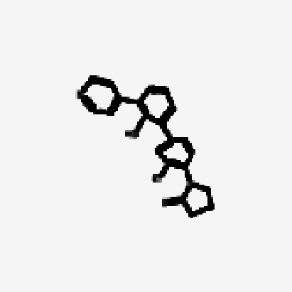 O=C1CCCN1c1ccc(-c2cccc(-c3ccncc3)c2O)cc1Cl